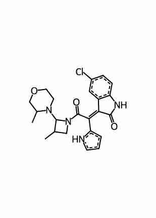 CC1CN(C(=O)C(=C2C(=O)Nc3ccc(Cl)cc32)c2ccc[nH]2)C1N1CCOCC1C